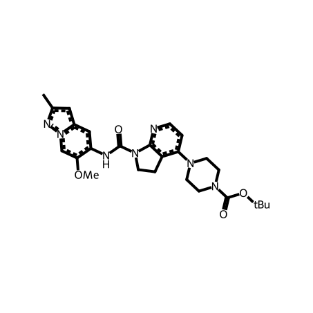 COc1cn2nc(C)cc2cc1NC(=O)N1CCc2c(N3CCN(C(=O)OC(C)(C)C)CC3)ccnc21